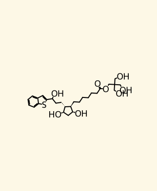 O=C(CCCCCC[C@@H]1[C@@H](CCC(O)c2cc3ccccc3s2)[C@H](O)C[C@@H]1O)OCC(CO)(CO)CO